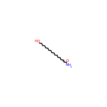 NC(=O)/C=C/CCCCCCCCCCCCCCCO